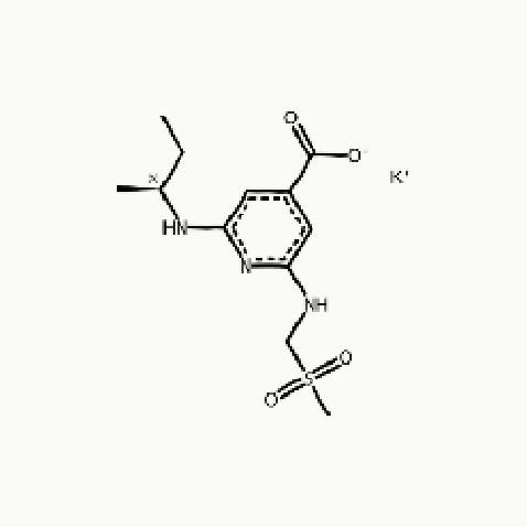 CC[C@H](C)Nc1cc(C(=O)[O-])cc(NCS(C)(=O)=O)n1.[K+]